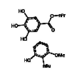 CCCCc1c(O)cccc1OC.CCCOC(=O)c1cc(O)c(O)c(O)c1